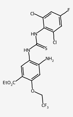 CCOC(=O)c1cc(NC(=S)Nc2c(Cl)cc(F)cc2Cl)c(N)cc1OCC(F)(F)F